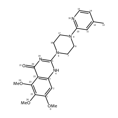 COc1cc2[nH]c(N3CCN(c4cc(C)ccn4)CC3)nc(=O)c2c(OC)c1OC